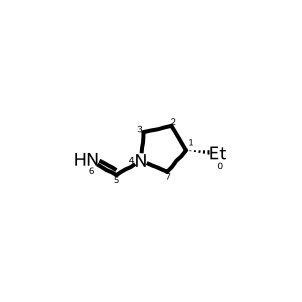 [CH2]C[C@H]1CCN(C=N)C1